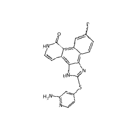 Nc1cc(Sc2nc3c4ccc(F)cc4c4c(=O)[nH]ccc4c3[nH]2)ccn1